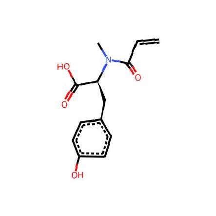 C=CC(=O)N(C)[C@@H](Cc1ccc(O)cc1)C(=O)O